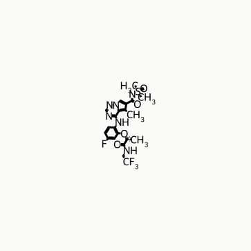 Cc1c(C(=O)N=S(C)(C)=O)cn2ncnc(Nc3ccc(F)cc3O[C@H](C)C(=O)NCC(F)(F)F)c12